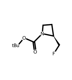 CC(C)(C)OC(=O)N1CC[C@H]1CF